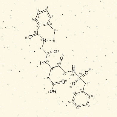 O=C(O)CC(NC(=O)CN1CCc2ccccc2C1=O)C(=O)CNS(=O)(=O)Cc1ccccc1